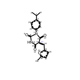 CC(C)c1ccc(N2C(=O)NC(=O)/C(=C\c3ccc(I)o3)C2=O)cc1